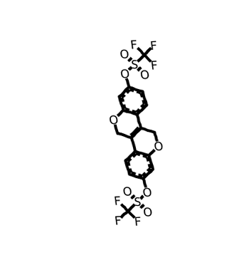 O=S(=O)(Oc1ccc2c(c1)OCC1=C2COc2cc(OS(=O)(=O)C(F)(F)F)ccc21)C(F)(F)F